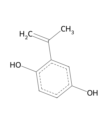 C=C(C)c1cc(O)ccc1O